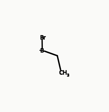 CC[B]Br